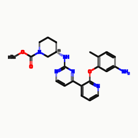 CCCCOC(=O)N1CCC[C@H](Nc2nccc(-c3cccnc3Oc3cc(N)ccc3C)n2)C1